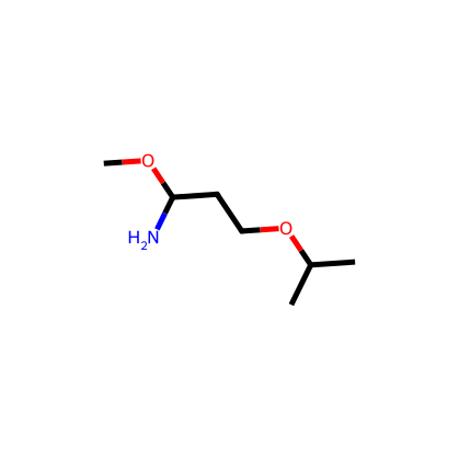 COC(N)CCOC(C)C